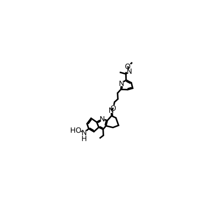 CCc1c2c(nc3ccc(NO)cc13)/C(=N/OCCCc1cccc(/C(C)=N/OC)n1)CCC2